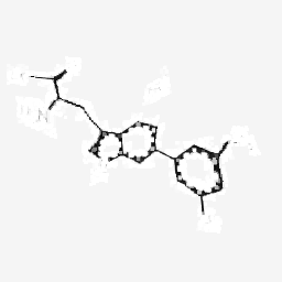 CCC(=O)C(N)Cc1c[nH]c2cc(-c3cc(C(F)(F)F)cc(C(F)(F)F)c3)ccc12.Cl